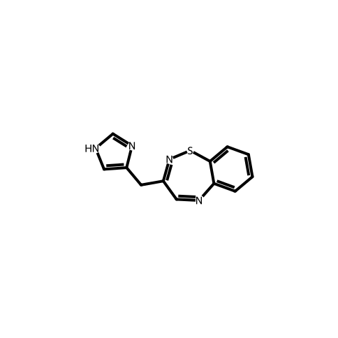 C1=Nc2ccccc2SN=C1Cc1c[nH]cn1